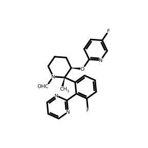 C[C@]1(c2cccc(F)c2-c2ncccn2)[C@H](Oc2ccc(F)cn2)CCCN1C=O